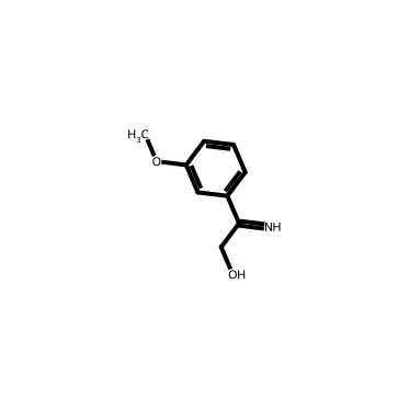 COc1cccc(C(=N)CO)c1